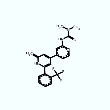 C=C1C=C(c2ccnc(NC(=O)N(C)C)c2)C=C(c2ccccc2C(F)(F)F)N1